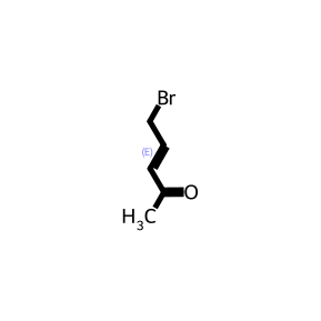 CC(=O)/C=C/CBr